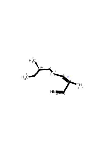 CC[C@@H](C)CN/C=C(/C)C=N